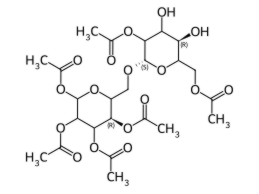 CC(=O)OCC1O[C@H](OCC2OC(OC(C)=O)C(OC(C)=O)C(OC(C)=O)[C@@H]2OC(C)=O)C(OC(C)=O)C(O)[C@H]1O